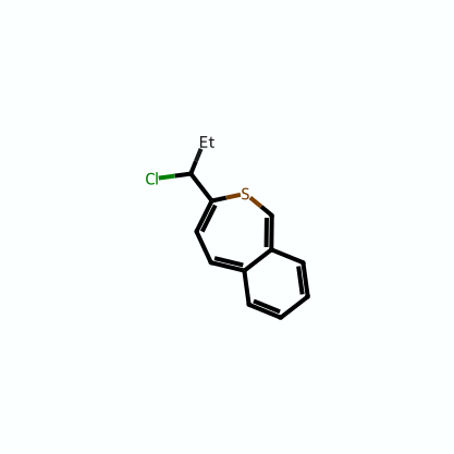 CCC(Cl)C1=CC=c2ccccc2=CS1